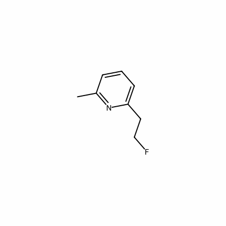 Cc1cccc(CCF)n1